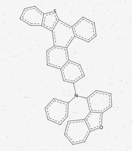 c1ccc(N(c2ccc3c(ccc4c3c3ccccc3c3sc5ccccc5c43)c2)c2cccc3oc4ccccc4c23)cc1